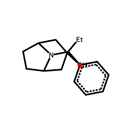 CCC1(O)CC2CCC(C1)N2Cc1ccccc1